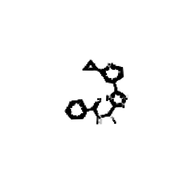 C[C@H](NC(=O)c1ccccc1)c1nc(-c2ccnc(C3CC3)c2)ns1